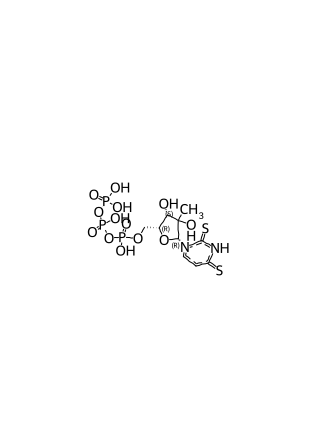 CC1(O)[C@@H](O)[C@@H](COP(=O)(O)OP(=O)(O)OP(=O)(O)O)O[C@H]1n1ccc(=S)[nH]c1=S